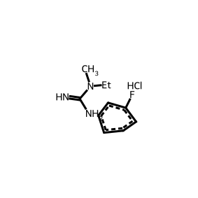 CCN(C)C(=N)N.Cl.Fc1ccccc1